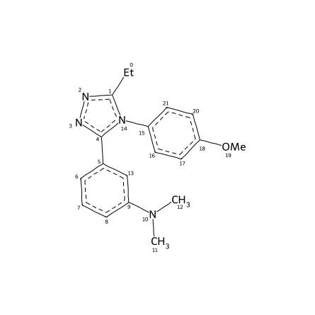 CCc1nnc(-c2cccc(N(C)C)c2)n1-c1ccc(OC)cc1